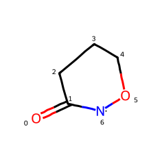 O=C1CCCO[N]1